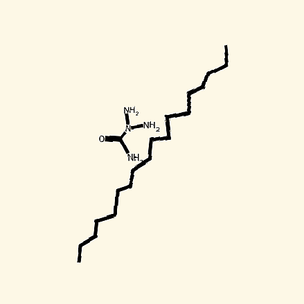 CCCCCCCCCCCCCCCCCC.NC(=O)N(N)N